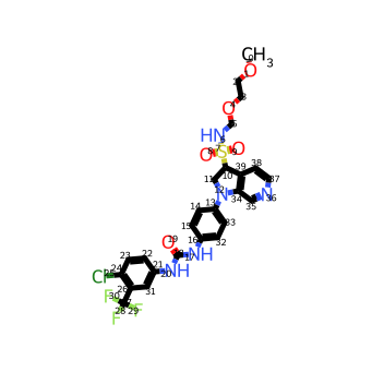 COCCOCNS(=O)(=O)C1CN(c2ccc(NC(=O)Nc3ccc(Cl)c(C(F)(F)F)c3)cc2)c2cnccc21